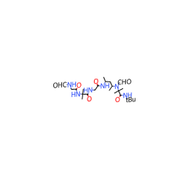 CC(CC(C)N(C=O)C(C)(C)C(=O)NC(C)(C)C)NC(=O)CNC(=O)C(C)(C)NC(=O)CNC=O